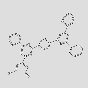 C=C/C=C(\C=C\Cl)c1cc(-c2ccccc2)nc(-c2ccc(-c3nc(C4=CC=CCC4)cc(-c4ccccc4)n3)cc2)n1